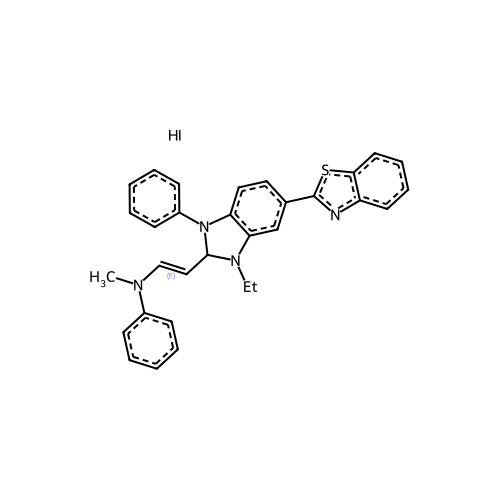 CCN1c2cc(-c3nc4ccccc4s3)ccc2N(c2ccccc2)C1/C=C/N(C)c1ccccc1.I